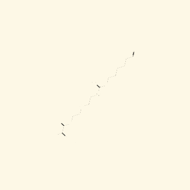 C=CCCCCCOC(=O)NCCOCCOC(=O)C(=C)C